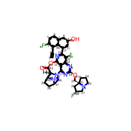 C#Cc1c(F)ccc2cc(O)cc(-c3nc4c5c(nc(OC[C@@]67CCCN6C[C@H](F)C7)nc5c3F)N3CC5CCC(N5)[C@H]3C(=O)O4)c12